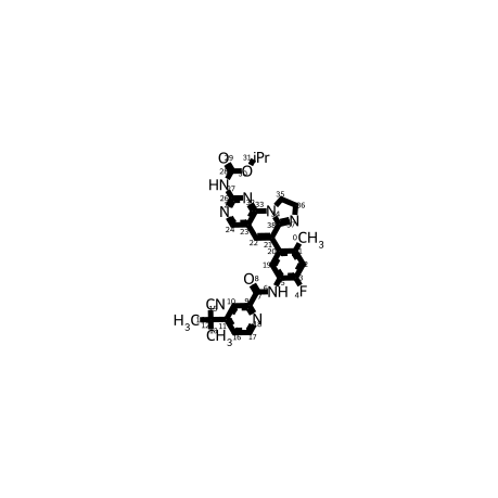 Cc1cc(F)c(NC(=O)c2cc(C(C)(C)C#N)ccn2)cc1C1=Cc2cnc(NC(=O)OC(C)C)nc2N2CCN=C12